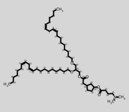 CCCCC/C=C\C/C=C\CCCCCCCCOCC(COC(=O)CC1CCC(OC(=O)CCCN(C)C)C1)OCCCCCCCCC/C=C\C/C=C\CCCCCC